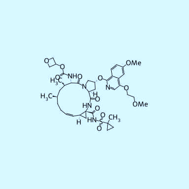 COCCOc1cnc(O[C@@H]2C[C@H]3C(=O)N[C@]4(C(=O)NS(=O)(=O)C5(C)CC5)C[C@H]4/C=C\CC[C@@H](C)C[C@@H](C)[C@H](NC(=O)OC4COC4)C(=O)N3C2)c2ccc(OC)cc12